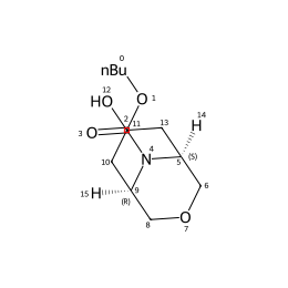 CCCCOC(=O)N1[C@@H]2COC[C@H]1CC(O)C2